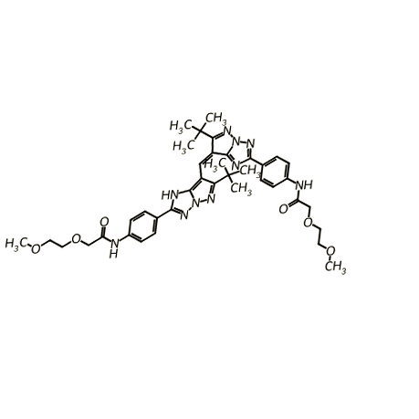 COCCOCC(=O)Nc1ccc(-c2nc3/c(=C\c4c(C(C)(C)C)nn5nc(-c6ccc(NC(=O)COCCOC)cc6)[nH]c45)c(C(C)(C)C)nn3n2)cc1